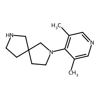 Cc1cncc(C)c1N1CCC2(CCNC2)C1